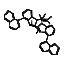 CCC1=Cc2c(-c3cccc4ccccc34)cccc2[CH]1[Ti]([CH3])([CH3])([CH]1C(CC)=Cc2c(-c3cccc4ccccc34)cccc21)[SiH](C)C